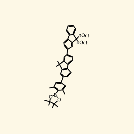 CCCCCCCCC1(CCCCCCCC)c2ccccc2-c2ccc(-c3ccc4c(c3)C(C)(C)c3cc(-c5cc(C)c(B6OC(C)(C)C(C)(C)O6)c(C)c5)ccc3-4)cc21